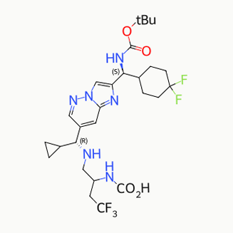 CC(C)(C)OC(=O)N[C@H](c1cn2ncc([C@H](NCC(CC(F)(F)F)NC(=O)O)C3CC3)cc2n1)C1CCC(F)(F)CC1